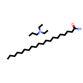 CCCCCCCCCCCCCCCCCCCC(N)=O.CCCN(CC)CC